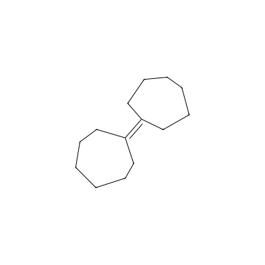 C1CCCC(=C2CCCCCC2)CC1